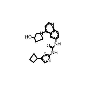 O=C(Nc1ccc2nccc(N3CCC(O)C3)c2c1)Nc1ncc(C2CCC2)s1